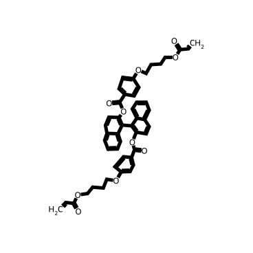 C=CC(=O)OCCCCOc1ccc(C(=O)Oc2ccc3ccccc3c2-c2c(OC(=O)c3ccc(OCCCCOC(=O)C=C)cc3)ccc3ccccc23)cc1